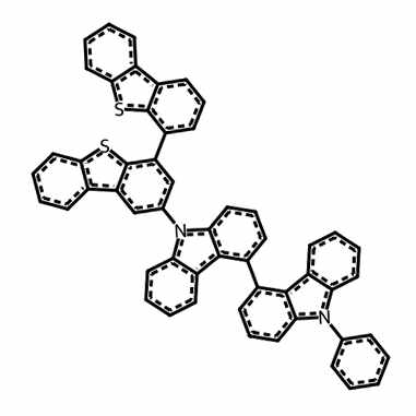 c1ccc(-n2c3ccccc3c3c(-c4cccc5c4c4ccccc4n5-c4cc(-c5cccc6c5sc5ccccc56)c5sc6ccccc6c5c4)cccc32)cc1